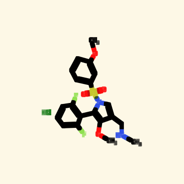 CNCc1cn(S(=O)(=O)c2cccc(OC)c2)c(-c2c(F)cccc2F)c1OC.Cl